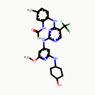 COc1cc(Nc2ncc(C(F)(F)F)c(Nc3ccc(C)cc3NC(C)=O)n2)cc(NC2CCC(O)CC2)n1